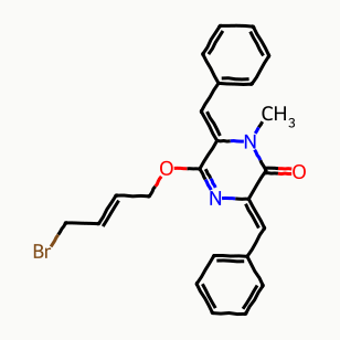 Cn1c(=O)/c(=C/c2ccccc2)nc(OCC=CCBr)/c1=C/c1ccccc1